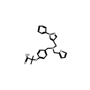 CC(C)(Sc1ccc(CN(Cc2cnn(-c3ccccc3)c2)Cc2ccco2)cc1)C(=O)O